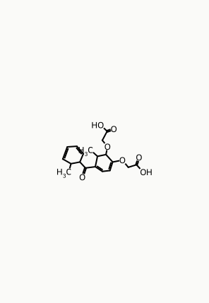 CC1C=CC=CC1C(=O)C1=CC=C(OCC(=O)O)C(OCC(=O)O)C1C